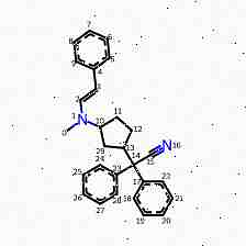 CN(C=Cc1ccccc1)C1CCC(C(C#N)(c2ccccc2)c2ccccc2)C1